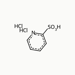 Cl.Cl.O=S(=O)(O)c1ccccn1